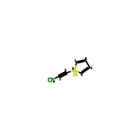 ClC#C[SH]1C=CC=C1